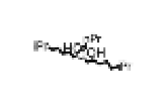 CC(C)CCCCCOCCCCCC(C)C.CCCC(O)O